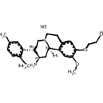 COc1cc2c(cc1OCCO)CCN1C[C@@H](c3cc(C)ccc3C)[C@H](N)C[C@H]21.Cl